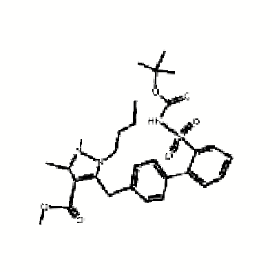 CCCCN1NC(C)C(C(=O)OC)=C1Cc1ccc(-c2ccccc2S(=O)(=O)NC(=O)OC(C)(C)C)cc1